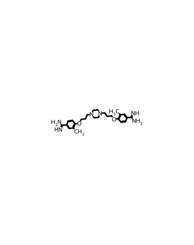 Cc1cc(C(=N)N)ccc1OCCCN1CCN(CCCOc2ccc(C(=N)N)cc2C)CC1